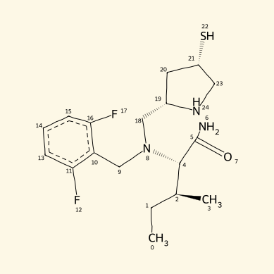 CC[C@H](C)[C@@H](C(N)=O)N(Cc1c(F)cccc1F)C[C@@H]1C[C@H](S)CN1